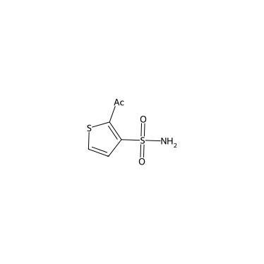 CC(=O)c1sccc1S(N)(=O)=O